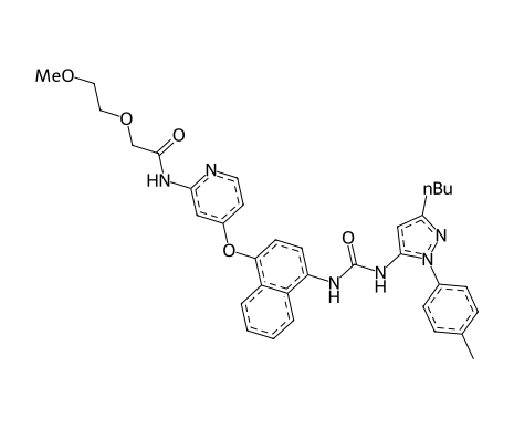 CCCCc1cc(NC(=O)Nc2ccc(Oc3ccnc(NC(=O)COCCOC)c3)c3ccccc23)n(-c2ccc(C)cc2)n1